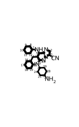 N#Cc1cnc2c(Nc3ccccc3)c(Cc3ccccc3)c(NC3CCC(N)CC3)nn12